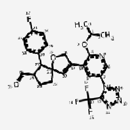 CC(C)Oc1ncc(-n2nnnc2C(F)(F)F)cc1C1=CC2(CCC(C=O)C2c2ccc(F)cc2)OC1